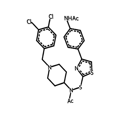 CC(=O)Nc1ccc(-c2csc(SN(C(C)=O)C3CCN(Cc4ccc(Cl)c(Cl)c4)CC3)n2)cc1